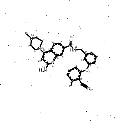 Cc1cccc(Oc2cccc(CNC(=O)c3ccc4c(N5CCN(C)CC5)nc(N)nc4c3)c2)c1C#N